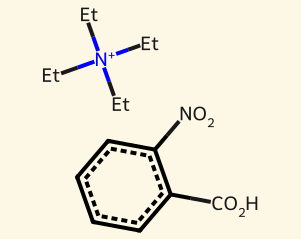 CC[N+](CC)(CC)CC.O=C(O)c1ccccc1[N+](=O)[O-]